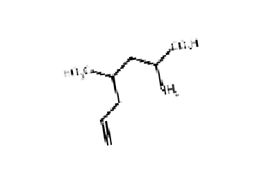 C=CCC(CC(N)C(=O)O)C(=O)O